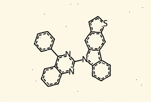 c1ccc(-c2nc(-n3c4ccccc4c4cc5sccc5cc43)nc3ccccc23)cc1